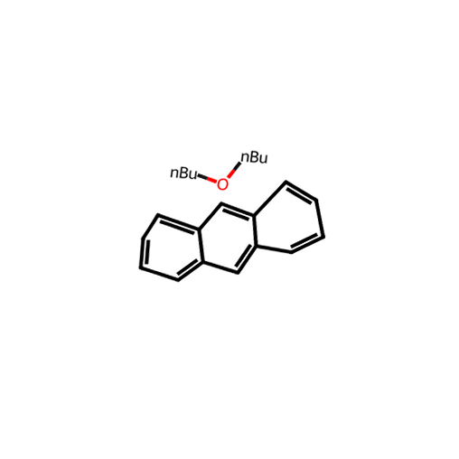 CCCCOCCCC.c1ccc2cc3ccccc3cc2c1